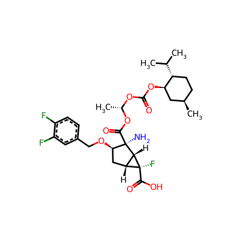 CC(C)[C@@H]1CC[C@@H](C)C[C@H]1OC(=O)O[C@@H](C)OC(=O)[C@@]1(N)[C@H]2[C@@H](C[C@H]1OCc1ccc(F)c(F)c1)[C@]2(F)C(=O)O